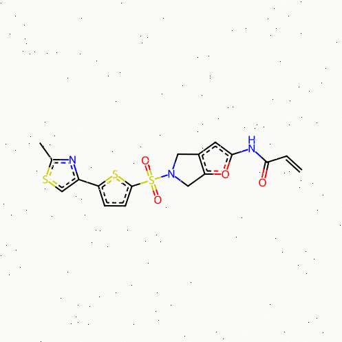 C=CC(=O)Nc1cc2c(o1)CN(S(=O)(=O)c1ccc(-c3csc(C)n3)s1)C2